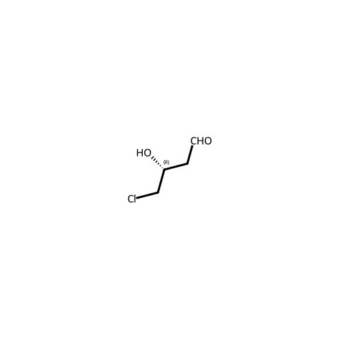 O=CC[C@@H](O)CCl